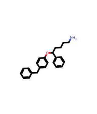 NCCCCC(Oc1ccc(Cc2ccccc2)cc1)c1ccccc1